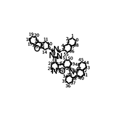 c1ccc2cc(-c3nc(-c4ccc5c(c4)oc4ccccc45)nc(-c4ccnc5oc6c(-n7c8ccccc8c8ccc9ccccc9c87)cccc6c45)n3)ccc2c1